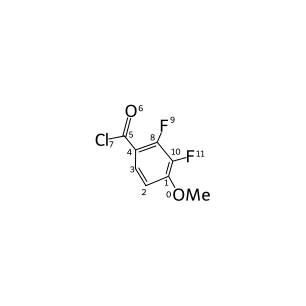 COc1ccc(C(=O)Cl)c(F)c1F